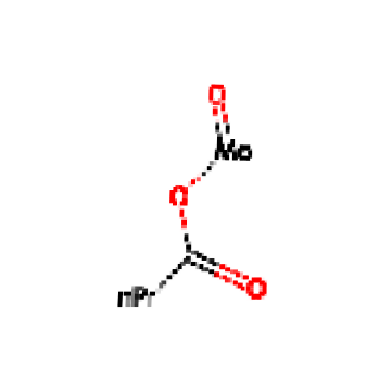 CCCC(=O)[O][Mo]=[O]